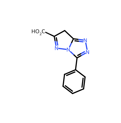 O=C(O)C1=Nn2c(nnc2-c2ccccc2)C1